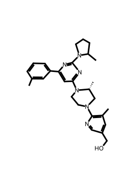 Cc1cccc(-c2cc(N3CCN(c4ncc(CO)cc4C)C[C@H]3C)nc(N3CCCC3C)n2)c1